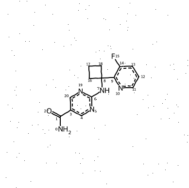 NC(=O)c1cnc(NC2(c3ncccc3F)CCC2)nc1